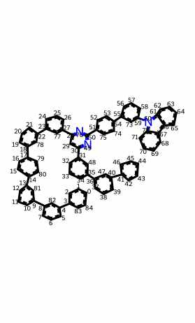 c1ccc(-c2cccc(-c3cccc(-c4ccc(-c5cccc(-c6cccc(-c7cc(-c8cccc(-c9cccc(-c%10ccccc%10)c9)c8)nc(-c8ccc(-c9cccc(-n%10c%11ccccc%11c%11ccccc%11%10)c9)cc8)n7)c6)c5)cc4)c3)c2)cc1